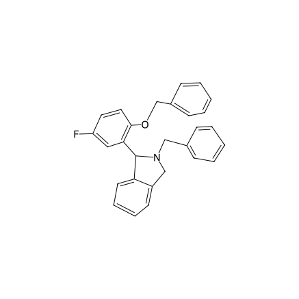 Fc1ccc(OCc2ccccc2)c(C2c3ccccc3CN2Cc2ccccc2)c1